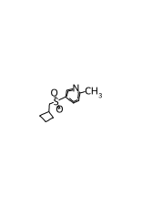 Cc1ccc(S(=O)(=O)CC2CCC2)cn1